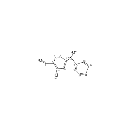 O=Cc1ccc([S+]([O-])c2ccccc2)cc1Cl